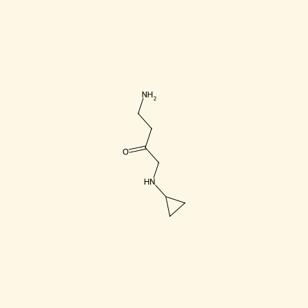 NCCC(=O)CNC1CC1